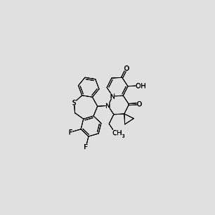 CCC1N(C2c3ccccc3SCc3c2ccc(F)c3F)n2ccc(=O)c(O)c2C(=O)C12CC2